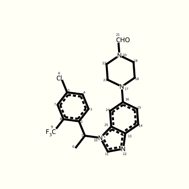 CC(c1ccc(Cl)cc1C(F)(F)F)n1cnc2ccc(N3CCN(C=O)CC3)cc21